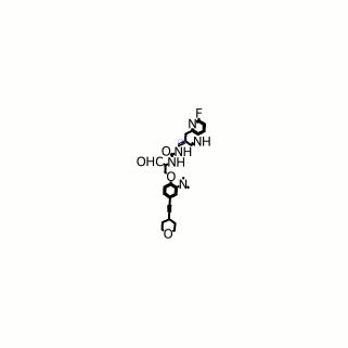 CN(C)c1cc(C#CC2CCOCC2)ccc1OCC(C=O)NC(=O)N/C=C(\C=N)Cc1cccc(F)n1